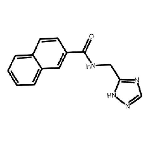 O=C(NCc1ncn[nH]1)c1ccc2ccccc2c1